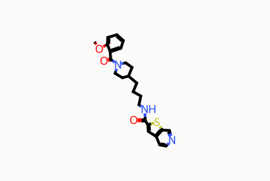 COc1ccccc1C(=O)N1CCC(CCCCNC(=O)c2cc3ccncc3s2)CC1